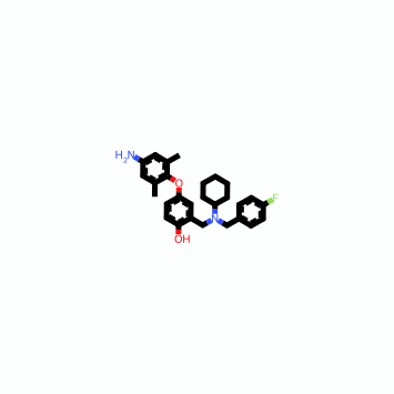 Cc1cc(N)cc(C)c1Oc1ccc(O)c(CN(Cc2ccc(F)cc2)C2CCCCC2)c1